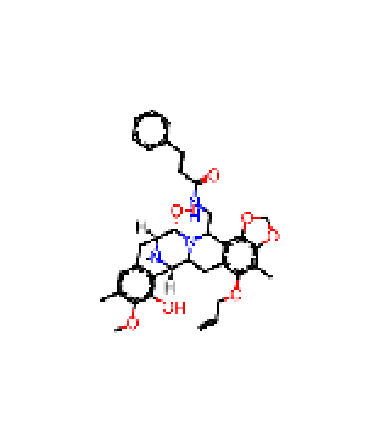 C=CCOc1c(C)c2c(c3c1CC1[C@@H]4c5c(cc(C)c(OC)c5O)C[C@H]([C@H](O)N1[C@H]3CNC(=O)CCc1ccccc1)N4C)OCO2